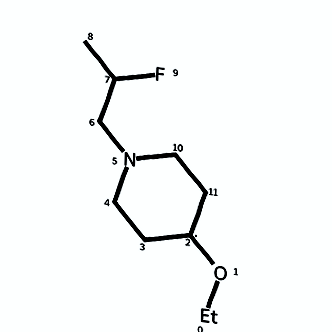 CCO[C]1CCN(CC(C)F)CC1